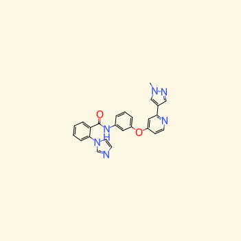 Cn1cc(-c2cc(Oc3cccc(NC(=O)c4ccccc4-n4ccnc4)c3)ccn2)cn1